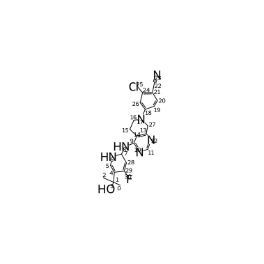 CC(C)(O)C1=CNC(Nc2ncnc3c2CCN(c2ccc(C#N)c(Cl)c2)C3)C=C1F